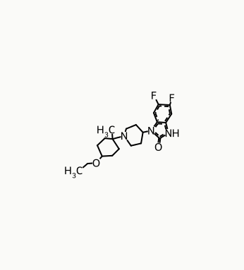 CCOC1CCC(C)(N2CCC(n3c(=O)[nH]c4cc(F)c(F)cc43)CC2)CC1